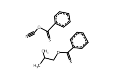 CC(C)COC(=S)c1ccccc1.N#COC(=S)c1ccccc1